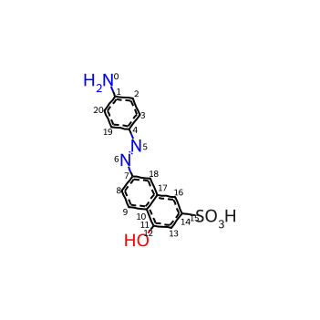 Nc1ccc(N=Nc2ccc3c(O)cc(S(=O)(=O)O)cc3c2)cc1